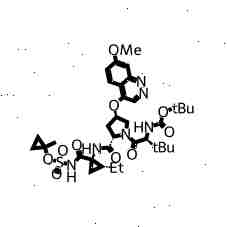 CC[C@@H]1C[C@]1(NC(=O)[C@@H]1C[C@@H](Oc2cnnc3cc(OC)ccc23)CN1C(=O)[C@@H](NC(=O)OC(C)(C)C)C(C)(C)C)C(=O)NS(=O)(=O)OC1(C)CC1